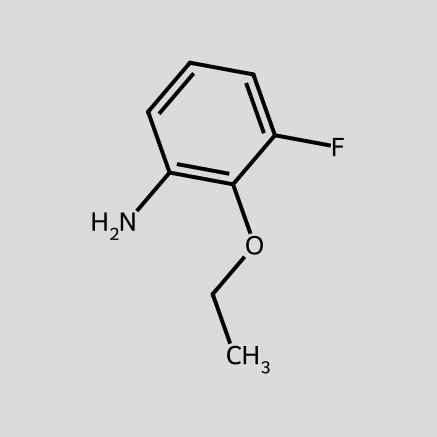 CCOc1c(N)cccc1F